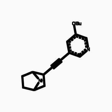 CC(C)COc1cncc(C#CC2CC3CCC2N3)c1